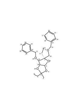 CCC1(C)OC2O[C@](CF)(COCc3ccccc3)C(OCc3ccccc3)C2O1